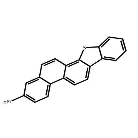 CCCc1ccc2c(ccc3c2ccc2c4ccccc4sc23)c1